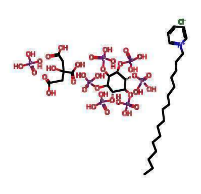 CCCCCCCCCCCCCCCC[n+]1ccccc1.O=C(O)CC(O)(CC(=O)O)C(=O)O.O=P(O)(O)O.O=P(O)(O)O[C@H]1[C@H](OP(=O)(O)O)[C@@H](OP(=O)(O)O)[C@H](OP(=O)(O)O)[C@@H](OP(=O)(O)O)[C@H]1OP(=O)(O)O.[Cl-]